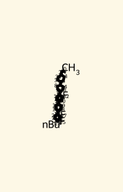 C/C=C/C1CCC(C2CC=C(c3ccc(-c4ccc(-c5ccc(CCCC)c(F)c5F)cc4)cc3F)CC2)CC1